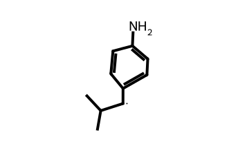 CC(C)[CH]c1ccc(N)cc1